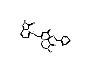 CC(C)N1CCn2c(CNc3cccc4n[nH]c(=O)n34)cc(=O)c(OCc3ccccc3)c2C1=O